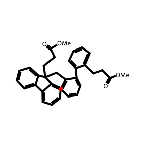 COC(=O)CCc1ccccc1-c1ccccc1CC1(CCC(=O)OC)c2ccccc2-c2ccccc21